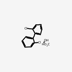 Clc1ccccc1-c1ccccc1Cl.O=C(O)O